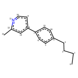 CCCCc1ccc(-c2ccnc(C)c2)cc1